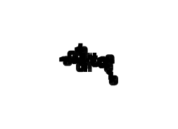 C=C(C)OC(=O)N[C@@H](C[C@H](Cc1ccc(OC)c(OCCCOC)c1)C(C)C)[C@@H](O)CCC(=O)OCC